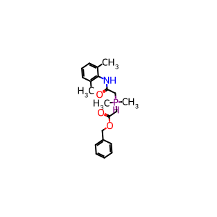 Cc1cccc(C)c1NC(=O)C[PH](C)(C)CC(=O)OCc1ccccc1